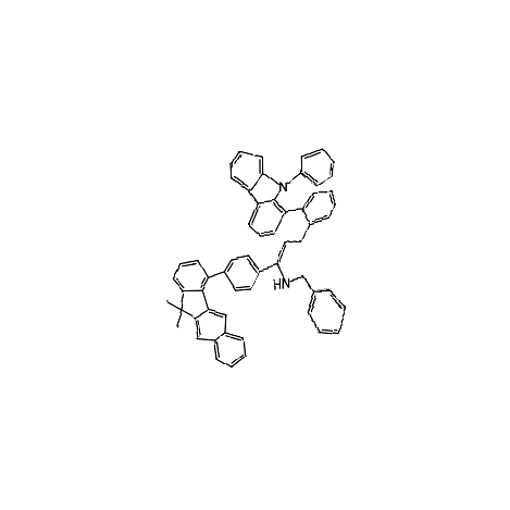 CC1(C)c2cc3ccccc3cc2-c2c(-c3ccc(/C(=C/Cc4ccccc4-c4cccc5c6ccccc6n(-c6ccccc6)c45)NCc4ccccc4)cc3)cccc21